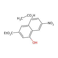 CC(=O)O.CCOC(=O)c1cc(O)c2cc([N+](=O)[O-])ccc2c1